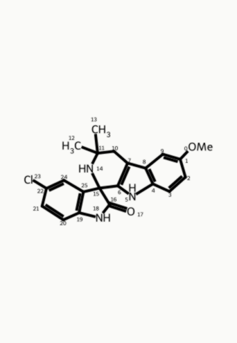 COc1ccc2[nH]c3c(c2c1)CC(C)(C)NC31C(=O)Nc2ccc(Cl)cc21